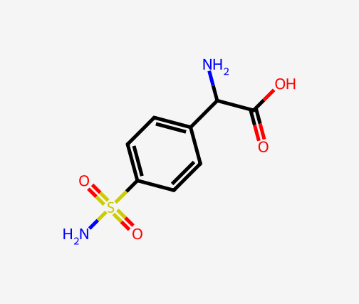 NC(C(=O)O)c1ccc(S(N)(=O)=O)cc1